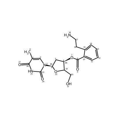 Cc1cn([C@H]2C[C@@H](OC(=O)c3ccccc3CCN)C(CO)O2)c(=O)[nH]c1=O